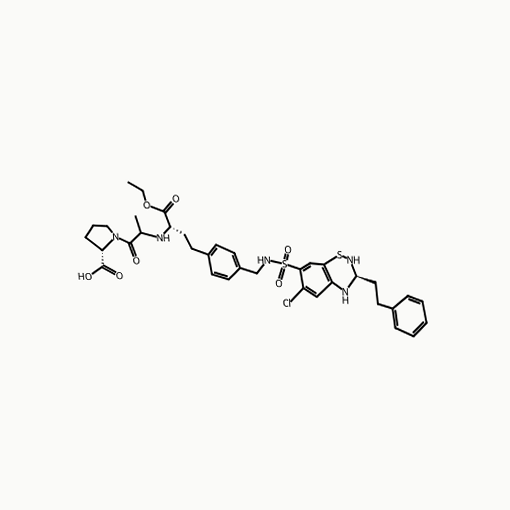 CCOC(=O)[C@H](CCc1ccc(CNS(=O)(=O)c2cc3c(cc2Cl)N[C@H](CCc2ccccc2)NS3)cc1)NC(C)C(=O)N1CCC[C@H]1C(=O)O